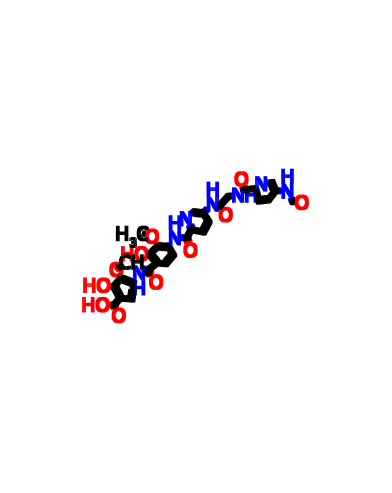 COc1c(NC(=O)c2ccc(NC(=O)c3ccc(NC(=O)CNC(=O)c4ccc(NC=O)cn4)cn3)c(OC)c2O)ccc(C(=O)O)c1O